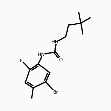 Cc1cc(F)c(NC(=O)NCCC(C)(C)C)cc1Br